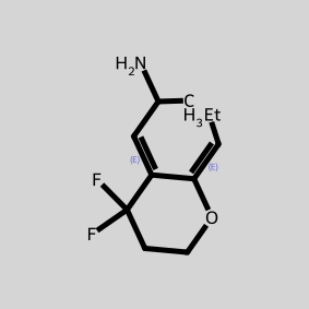 CC/C=C1/OCCC(F)(F)/C1=C/C(C)N